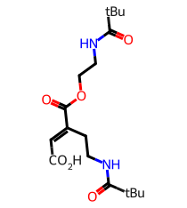 CC(C)(C)C(=O)NCCOC(=O)C(=CC(=O)O)CCNC(=O)C(C)(C)C